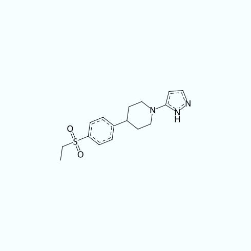 CCS(=O)(=O)c1ccc(C2CCN(c3ccn[nH]3)CC2)cc1